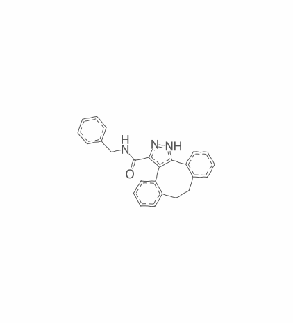 O=C(NCc1ccccc1)c1n[nH]c2c1-c1ccccc1CCc1ccccc1-2